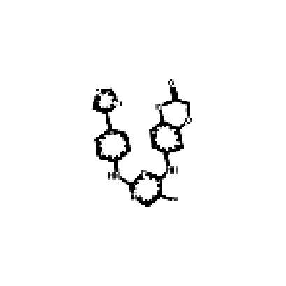 O=C1COc2cc(Nc3nc(Nc4ccc(-c5cnco5)cc4)ncc3F)ccc2N1